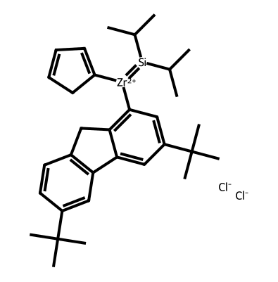 CC(C)[Si](C(C)C)=[Zr+2]([C]1=CC=CC1)[c]1cc(C(C)(C)C)cc2c1Cc1ccc(C(C)(C)C)cc1-2.[Cl-].[Cl-]